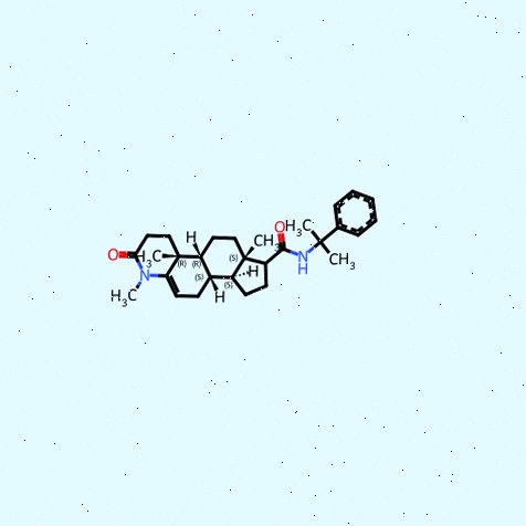 CN1C(=O)CC[C@@]2(C)C1=CC[C@@H]1[C@H]2CC[C@]2(C)C(C(=O)NC(C)(C)c3ccccc3)CC[C@@H]12